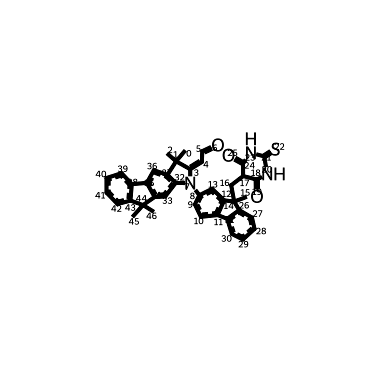 CC1(C)/C(=C\C=O)N(c2ccc3c(c2)C(C)(CC2C(=O)NC(=S)NC2=O)c2ccccc2-3)c2cc3c(cc21)-c1ccccc1C3(C)C